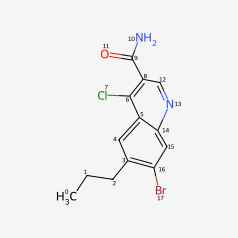 CCCc1cc2c(Cl)c(C(N)=O)cnc2cc1Br